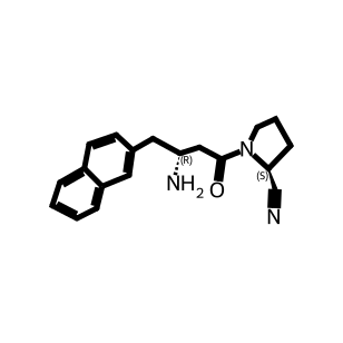 N#C[C@@H]1CCCN1C(=O)C[C@H](N)Cc1ccc2ccccc2c1